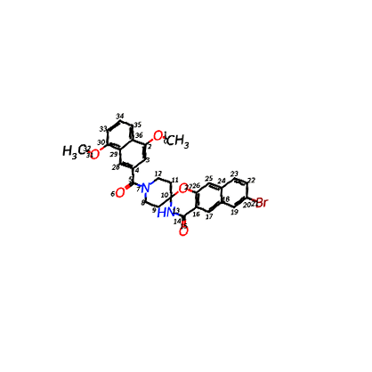 COc1cc(C(=O)N2CCC3(CC2)NC(=O)c2cc4cc(Br)ccc4cc2O3)cc2c(OC)cccc12